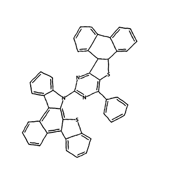 c1ccc(-c2nc(-n3c4ccccc4c4c5ccccc5c5c6ccccc6sc5c43)nc3c2SC2c4ccccc4-c4ccccc4C32)cc1